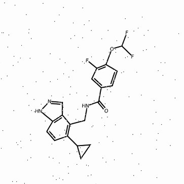 O=C(NCc1c(C2CC2)ccc2[nH]ncc12)c1ccc(OC(F)F)c(F)c1